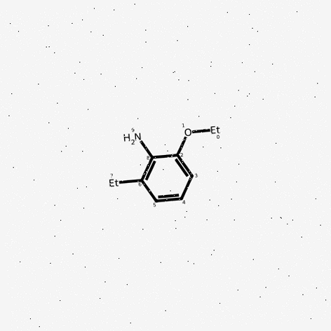 CCOc1cccc(CC)c1N